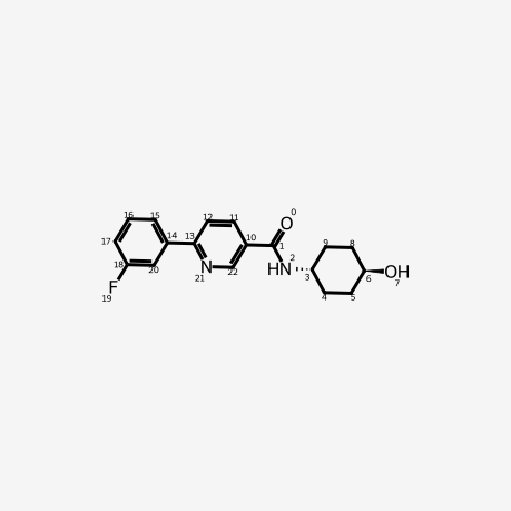 O=C(N[C@H]1CC[C@H](O)CC1)c1ccc(-c2cccc(F)c2)nc1